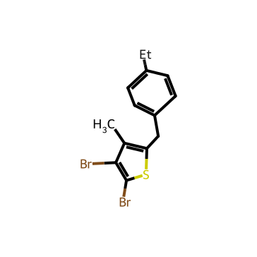 CCc1ccc(Cc2sc(Br)c(Br)c2C)cc1